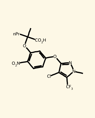 CCCC(C)(Oc1cc(Oc2nn(C)c(C(F)(F)F)c2Cl)ccc1[N+](=O)[O-])C(=O)O